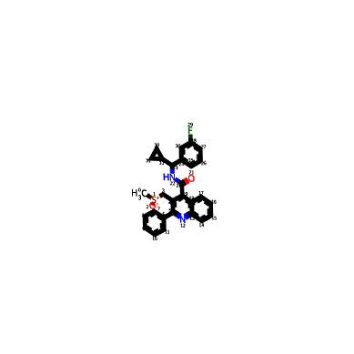 C[S+]([O-])Cc1c(-c2ccccc2)nc2ccccc2c1C(=O)NC(c1cccc(F)c1)C1CC1